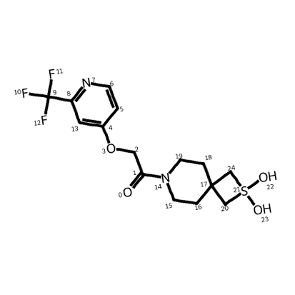 O=C(COc1ccnc(C(F)(F)F)c1)N1CCC2(CC1)CS(O)(O)C2